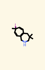 CC1(I)C=CC2=C(C=C1)CC(C)(C)CNC2